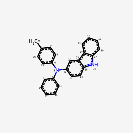 Cc1ccc(N(c2ccccc2)c2ccc3[nH]c4ccccc4c3c2)cc1